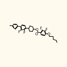 CCCCCOc1ccc(C(=O)OC2CCC(c3ccc(-c4ccc(C)cc4)c(F)c3F)CC2)c(F)c1F